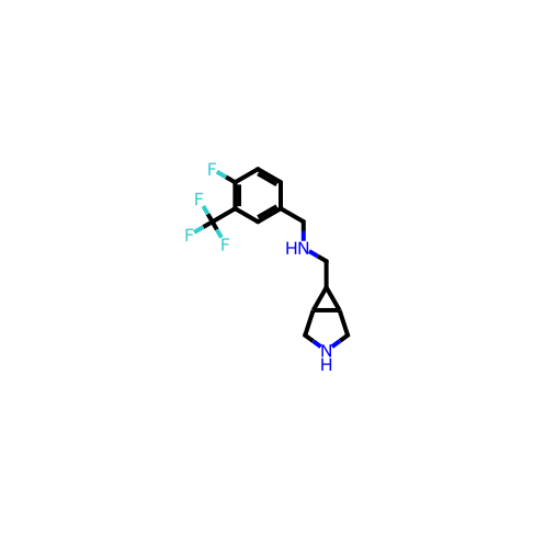 Fc1ccc(CNCC2C3CNCC23)cc1C(F)(F)F